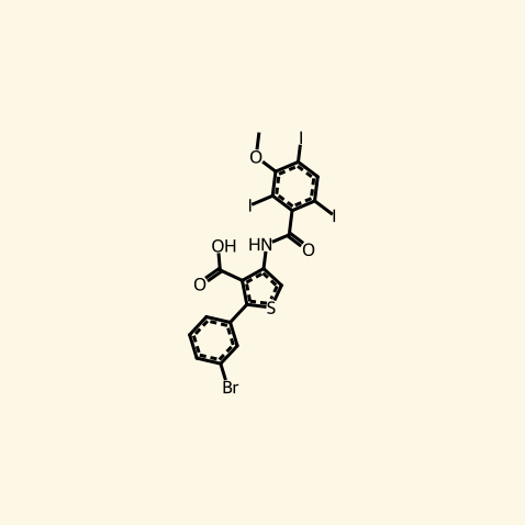 COc1c(I)cc(I)c(C(=O)Nc2csc(-c3cccc(Br)c3)c2C(=O)O)c1I